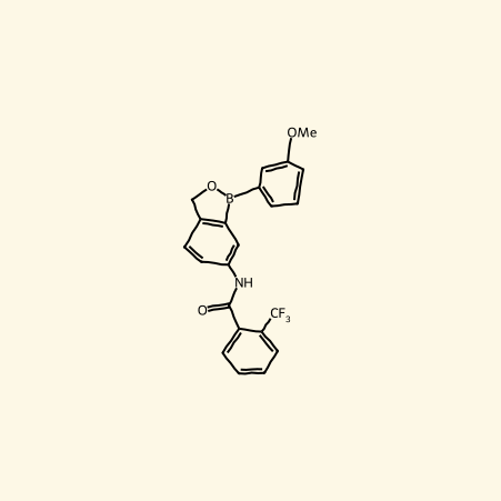 COc1cccc(B2OCc3ccc(NC(=O)c4ccccc4C(F)(F)F)cc32)c1